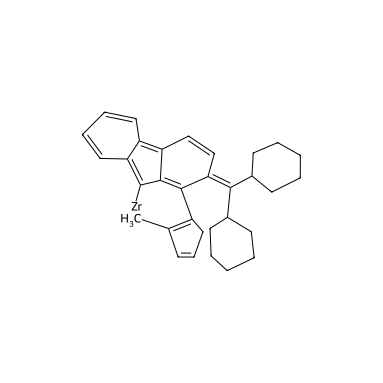 CC1=C(c2c3c(ccc2=C(C2CCCCC2)C2CCCCC2)=c2ccccc2=[C]3[Zr])CC=C1